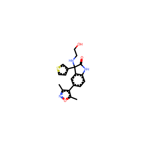 Cc1noc(C)c1-c1ccc2c(c1)C(NCCO)(c1ccsc1)C(=O)N2